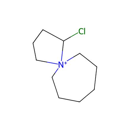 ClC1CCC[N+]12CCCCCC2